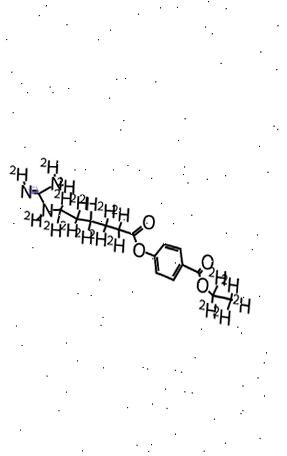 [2H]/N=C(\N([2H])[2H])N([2H])C([2H])([2H])C([2H])([2H])C([2H])([2H])C([2H])([2H])C([2H])([2H])C(=O)Oc1ccc(C(=O)OC([2H])([2H])C([2H])([2H])[2H])cc1